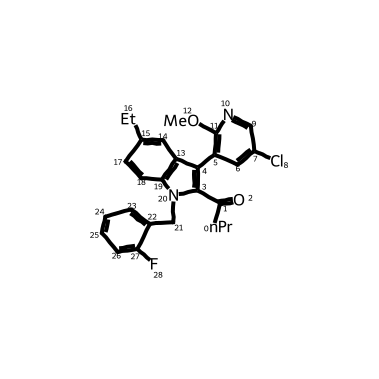 CCCC(=O)c1c(-c2cc(Cl)cnc2OC)c2cc(CC)ccc2n1Cc1ccccc1F